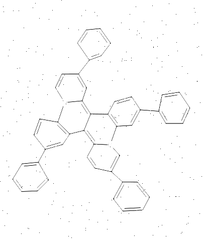 C1=CC2=C3C(=C4C=C(c5ccccc5)C=CN4c4ccc(-c5ccccc5)cc43)c3ccc(-c4ccccc4)cc3B2C=C1c1ccccc1